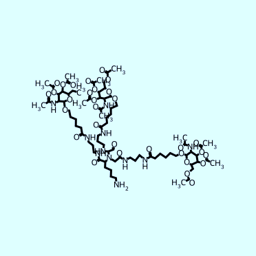 CCC1OC(OCCCCCC(=O)NCCCNC(=O)C(CCCCN)N(CC(=O)NCCCNC(=O)CCCCCOC2OC(COC(C)=O)C(OC(C)=O)C(OC(C)=O)C2NC(C)=O)C(C=O)NCCCNC(=O)CCCCCOC2OC(COC(C)=O)C(OC(C)=O)C(OC(C)=O)C2NC(C)=O)C(NC(C)=O)C(OC(C)=O)C1OC(C)=O